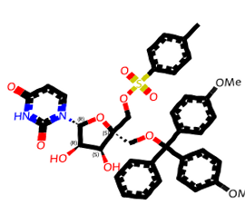 COc1ccc(C(OC[C@@]2(COS(=O)(=O)c3ccc(C)cc3)O[C@@H](n3ccc(=O)[nH]c3=O)[C@H](O)[C@@H]2O)(c2ccccc2)c2ccc(OC)cc2)cc1